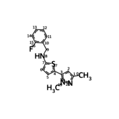 Cc1cc(-c2ccc(NCc3ccccc3F)s2)n(C)n1